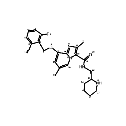 Cc1cc(OCc2c(F)cccc2F)c2nc(C)c(C(=O)NC[C@@H]3CCCCN3)n2c1